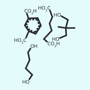 CC(C)(CO)CO.O=C(O)CCCCC(=O)O.O=C(O)c1cccc(C(=O)O)c1.OCCCCO